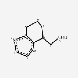 O=CCC1CCCc2ncccc21